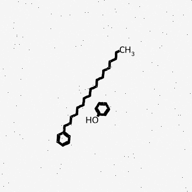 CCCCCCCCCCCCCCCCCCc1ccccc1.Oc1ccccc1